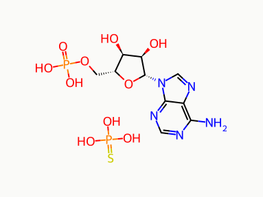 Nc1ncnc2c1ncn2[C@@H]1O[C@H](COP(=O)(O)O)[C@@H](O)[C@H]1O.OP(O)(O)=S